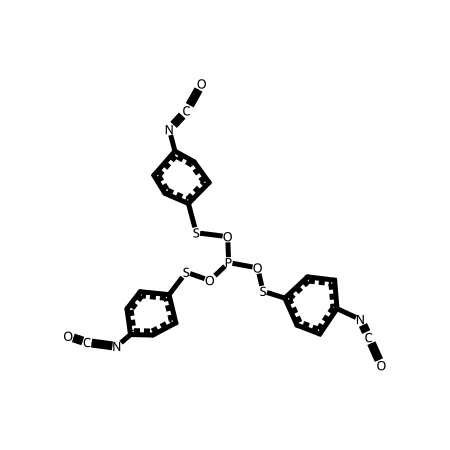 O=C=Nc1ccc(SOP(OSc2ccc(N=C=O)cc2)OSc2ccc(N=C=O)cc2)cc1